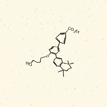 CCOC(=O)c1ccc(-c2ccc(OCCCO)c(-c3ccc4c(c3)C(C)(C)CCC4(C)C)c2)cc1